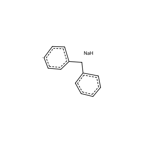 [NaH].[c]1ccc(Cc2ccccc2)cc1